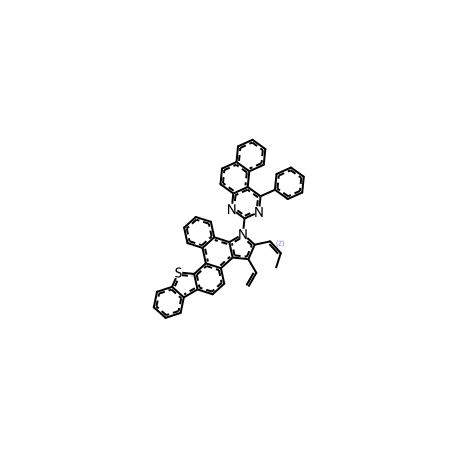 C=Cc1c(/C=C\C)n(-c2nc(-c3ccccc3)c3c(ccc4ccccc43)n2)c2c3ccccc3c3c(ccc4c5ccccc5sc43)c12